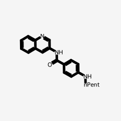 CCCCCNc1ccc(C(=O)Nc2cnc3ccccc3c2)cc1